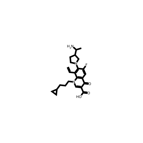 C=Cc1c(N2CCC(C(C)N)C2)c(F)cc2c(=O)c(C(=O)O)cn(CCCC3CC3)c12